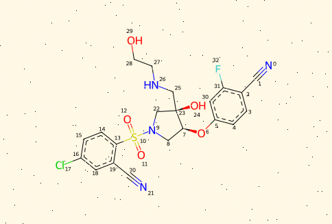 N#Cc1ccc(O[C@H]2CN(S(=O)(=O)c3ccc(Cl)cc3C#N)C[C@]2(O)CNCCO)cc1F